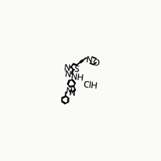 C(#Cc1cc2ncnc(Nc3ccc4c(cnn4Cc4ccccc4)c3)c2s1)CN1CCOCC1.Cl